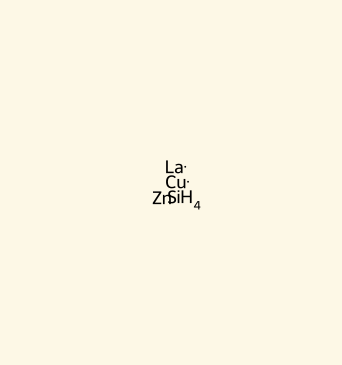 [Cu].[La].[SiH4].[Zn]